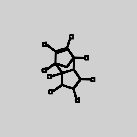 ClC1=C(Cl)C2(Cl)CC1(Cl)C1C(Cl)C(Cl)C(Cl)C12Cl